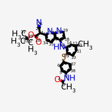 CC(=O)Nc1ccc(Sc2ccc(C)cc2Nc2ccnc3nc(C(C#N)C(=O)OC(C)(C)C)ccc23)cc1